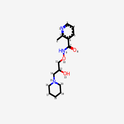 Cc1ncccc1C(=O)NOCC(O)CN1CCCCC1